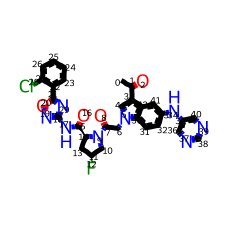 CC(=O)c1cn(CC(=O)N2C[C@H](F)C[C@H]2C(=O)Nc2noc(-c3ccccc3Cl)n2)c2ccc(Nc3cncnc3)cc12